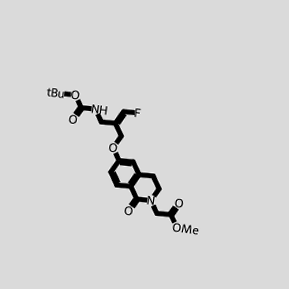 COC(=O)CN1CCc2cc(OC/C(=C\F)CNC(=O)OC(C)(C)C)ccc2C1=O